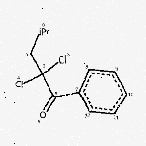 CC(C)CC(Cl)(Cl)C(=O)c1ccccc1